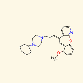 COC1C=CC=C2Oc3ncccc3C(=CCCN3CCN(C4CCCCC4)CC3)C=C21